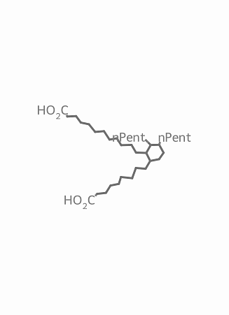 CCCCCC1CCC(CCCCCCCCC(=O)O)C(CCCCCCCCCCCC(=O)O)C1CCCCC